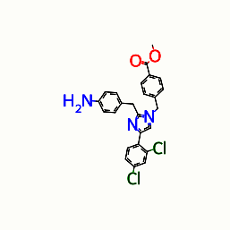 COC(=O)c1ccc(Cn2cc(-c3ccc(Cl)cc3Cl)nc2Cc2ccc(N)cc2)cc1